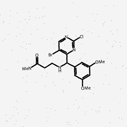 CNC(=O)CCNC(c1cc(OC)cc(OC)c1)c1nc(Cl)ncc1Br